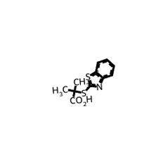 CC(C)(Sc1nc2ccccc2s1)C(=O)O